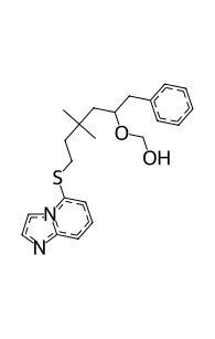 CC(C)(CCSc1cccc2nccn12)CC(Cc1ccccc1)OCO